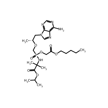 CCCCCOC(=O)COP(=O)(CO[C@H](C)Cn1cnc2c(N)ncnc21)NC(C)(C)C(=O)OC(C)C